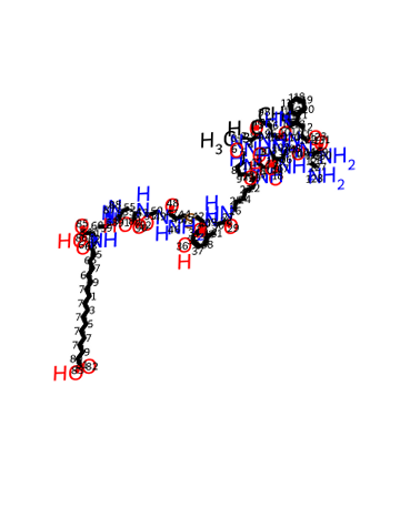 CNC[C@H](NC(=O)[C@@H]1CCCN1C(=O)[C@H](CC(N)=O)NC(=O)CCCCCNC(=O)[C@H](Cc1ccc(O)cc1)NC(=O)CSC[C@H](N)C(=O)NCC(=O)N[C@@H](Cc1cn(CC[C@H](NC(=O)CCCCCCCCCCCCCCCCC(=O)O)C(=O)O)nn1)C(=O)O)C(=O)N[C@@H](CC(C)C)C(=O)N1C[C@H](O)C[C@H]1C(=O)N[C@@H](Cc1c[nH]c2ccccc12)C(=O)N[C@@H](CCN)C(N)=O